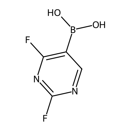 OB(O)c1cnc(F)nc1F